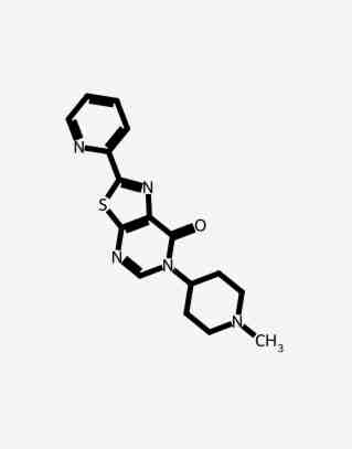 CN1CCC(n2cnc3sc(-c4ccccn4)nc3c2=O)CC1